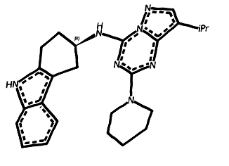 CC(C)c1cnn2c(N[C@@H]3CCc4[nH]c5ccccc5c4C3)nc(N3CCCCC3)nc12